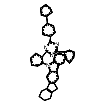 c1ccc(-c2ccc(-c3nc(-c4ccccc4)nc(-c4ccccc4-n4c5ccccc5c5cc6c(cc54)C4=C(CCCC4)C6)n3)cc2)cc1